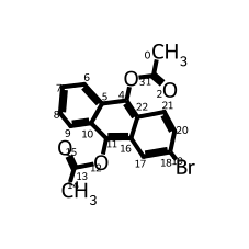 CC(=O)Oc1c2ccccc2c(OC(C)=O)c2cc(Br)ccc12